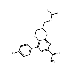 NC(=O)c1cc(-c2ccc(F)cc2)c2c(n1)OC(COC(F)F)CC2